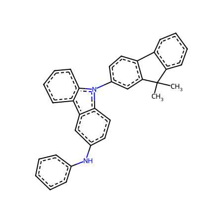 CC1(C)c2ccccc2-c2ccc(-n3c4ccccc4c4cc(Nc5ccccc5)ccc43)cc21